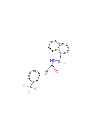 C[C@H](NC(=O)/C=C/c1cccc(C(F)(F)F)c1)c1cccc2ccccc12